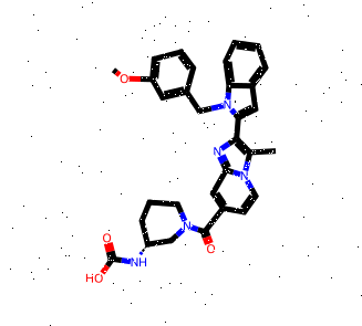 COc1cccc(Cn2c(-c3nc4cc(C(=O)N5CCC[C@@H](NC(=O)O)C5)ccn4c3C)cc3ccccc32)c1